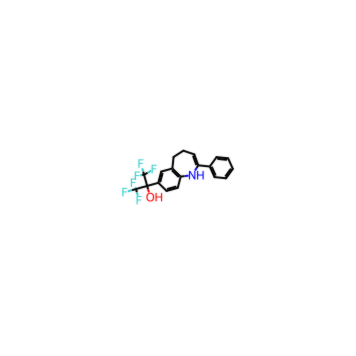 OC(c1ccc2c(c1)CCC=C(c1ccccc1)N2)(C(F)(F)F)C(F)(F)F